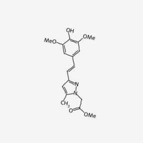 COC(=O)Cn1nc(C=Cc2cc(OC)c(O)c(OC)c2)cc1C